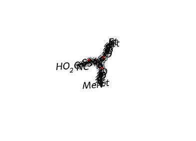 [C-]#[N+]/C(=C\c1ccc(-c2ccc(-c3ccc(N(c4ccc(/C=C/c5cc6ccc(C(CC)NC)cc6oc5=O)cc4)c4ccc(/C=C/c5cc6ccc(N(CC)CC)cc6oc5=O)cc4)cc3)s2)s1)C(=O)O